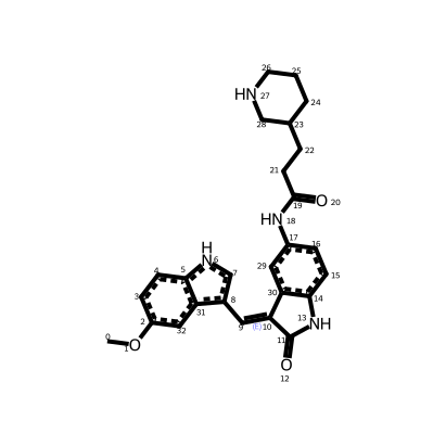 COc1ccc2[nH]cc(/C=C3/C(=O)Nc4ccc(NC(=O)CCC5CCCNC5)cc43)c2c1